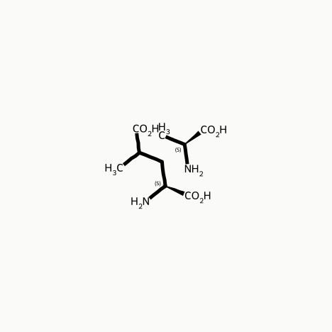 CC(C[C@H](N)C(=O)O)C(=O)O.C[C@H](N)C(=O)O